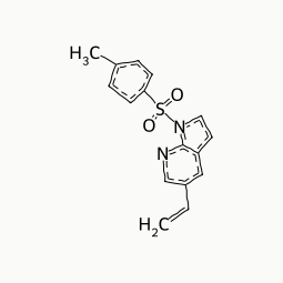 C=Cc1cnc2c(ccn2S(=O)(=O)c2ccc(C)cc2)c1